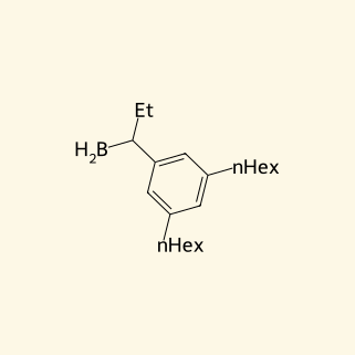 BC(CC)c1cc(CCCCCC)cc(CCCCCC)c1